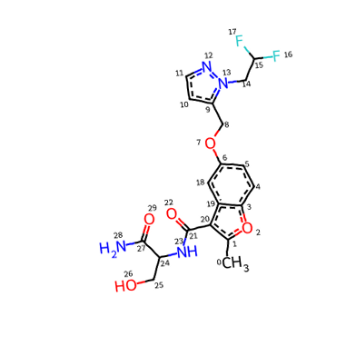 Cc1oc2ccc(OCc3ccnn3CC(F)F)cc2c1C(=O)NC(CO)C(N)=O